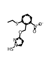 CCSc1cccc([N+](=O)[O-])c1COc1ccn(S)n1